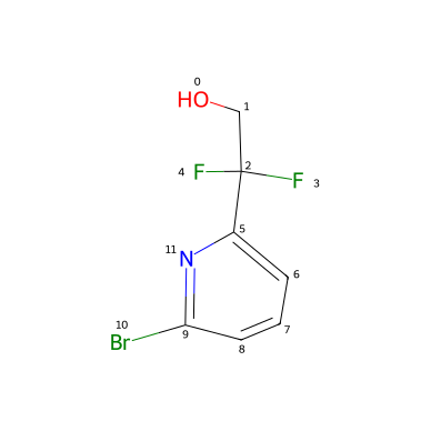 OCC(F)(F)c1cccc(Br)n1